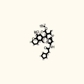 Cc1nc2cc(NC(=O)CC3CCCC3)nn2c(-c2cc(F)c3c(c2C)CCCO3)c1[C@H](OC(C)(C)C)C(=O)O